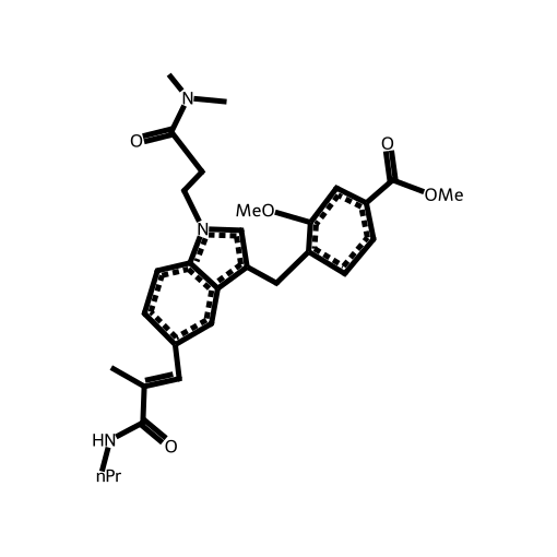 CCCNC(=O)/C(C)=C/c1ccc2c(c1)c(Cc1ccc(C(=O)OC)cc1OC)cn2CCC(=O)N(C)C